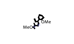 C=CC(/C=C\C(C)=C(/C)OC)c1ccccc1OC